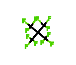 FC(F)(F)C(C(F)(F)F)(C(F)(F)F)C(F)(F)F